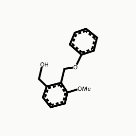 COc1cccc(CO)c1COc1ccccc1